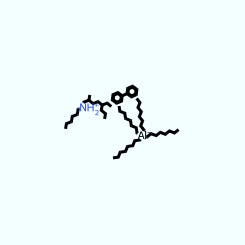 CCCCCCC[CH2][Al-]([CH2]CCCCCCC)([CH2]CCCCCCC)[CH2]CCCCCCC.CCCCCC[NH2+]CC(C)CCC(CC)CCC.c1ccc(-c2ccccc2)cc1